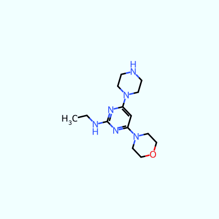 CCNc1nc(N2CCNCC2)cc(N2CCOCC2)n1